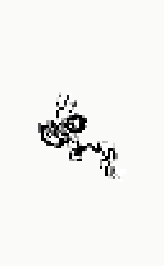 Cc1ccccc1Nc1ncccc1NC(=O)CCNC(=O)OC(C)(C)C